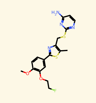 COc1ccc(-c2nc(CSc3nccc(N)n3)c(C)s2)cc1OCCF